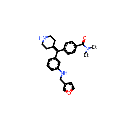 CCN(CC)C(=O)c1ccc(C(=C2CCNCC2)c2cccc(NCc3ccoc3)c2)cc1